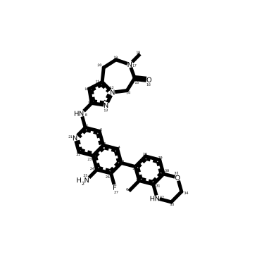 Cc1c(-c2cc3cc(Nc4cc5n(n4)CC(=O)N(C)CC5)ncc3c(N)c2F)ccc2c1NCCO2